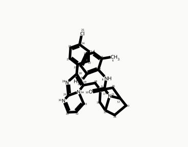 Cc1cccc(C)c1NC(=O)N1C2CCC1CN(Cc1c(-c3ccc(Cl)cc3)nc3ncccn13)C2